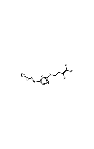 CCO/N=C/c1cnc(SCCC(F)=C(F)F)s1